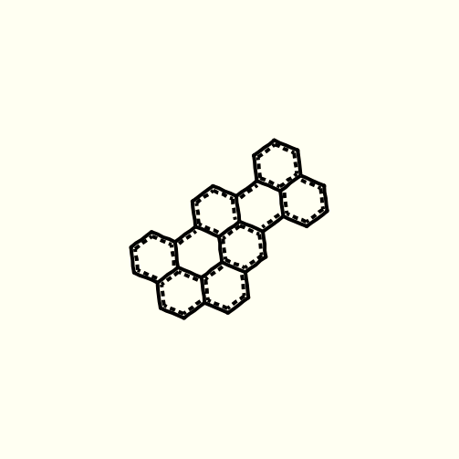 c1cc2cccc3c4cc5ccc6ccc7cccc8c9ccc(c(c1)c23)c4c9c5c6c78